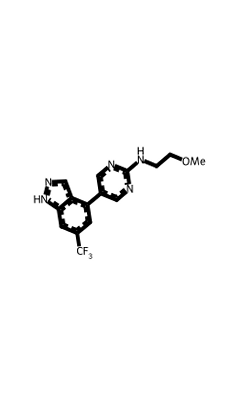 COCCNc1ncc(-c2cc(C(F)(F)F)cc3[nH]ncc23)cn1